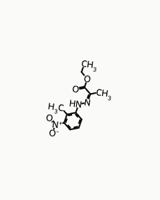 CCOC(=O)C(C)=NNc1cccc([N+](=O)[O-])c1C